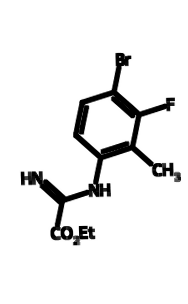 CCOC(=O)C(=N)Nc1ccc(Br)c(F)c1C